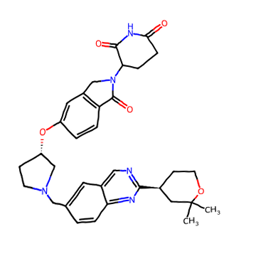 CC1(C)C[C@@H](c2ncc3cc(CN4CC[C@H](Oc5ccc6c(c5)CN(C5CCC(=O)NC5=O)C6=O)C4)ccc3n2)CCO1